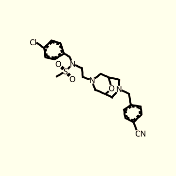 CS(=O)(=O)N(CCN1CC2CN(Cc3ccc(C#N)cc3)CC(C1)O2)Cc1ccc(Cl)cc1